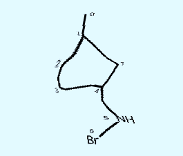 CC1CCC(NBr)C1